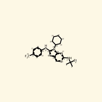 CCC(C)(C)Nc1ncc2nc(Nc3ccc(C(F)(F)F)cc3)n(C3CCCCC3)c2n1